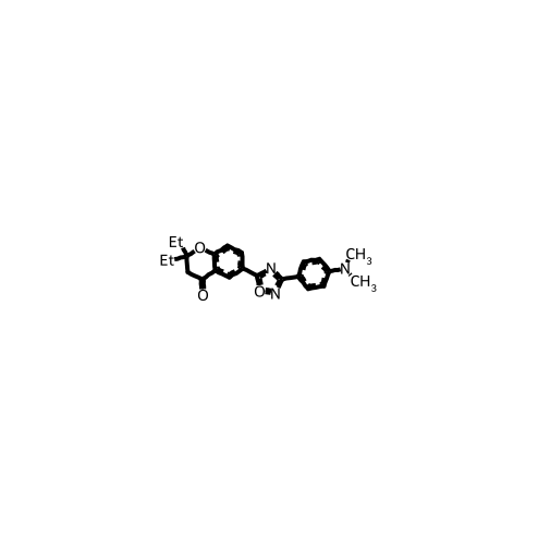 CCC1(CC)CC(=O)c2cc(-c3nc(-c4ccc(N(C)C)cc4)no3)ccc2O1